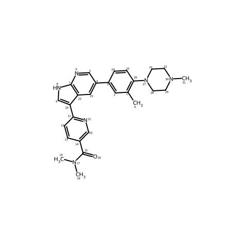 Cc1cc(-c2cnc3[nH]cc(-c4ccc(C(=O)N(C)C)cn4)c3c2)ccc1N1CCN(C)CC1